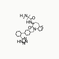 CC(C)(N)C(=O)N[C@@H]1CCc2sccc2N(Cc2ccc(-c3ccccc3-c3nnn[nH]3)cc2)C1=O